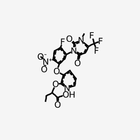 CCC(Oc1ncccc1Oc1cc(-n2c(=O)cc(C(F)(F)F)n(C)c2=O)c(F)cc1[N+](=O)[O-])C(=O)O